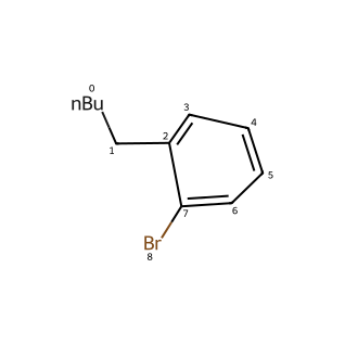 CC[CH]CCc1ccccc1Br